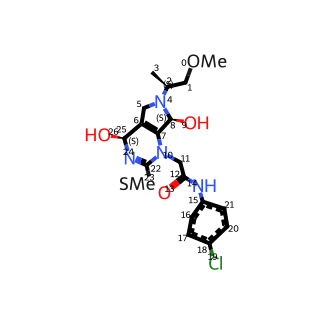 COC[C@H](C)N1CC2=C([C@@H]1O)N(CC(=O)Nc1ccc(Cl)cc1)C(SC)=N[C@H]2O